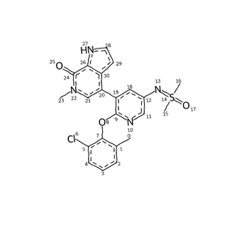 Cc1cccc(Cl)c1Oc1ncc(N=S(C)(C)=O)cc1-c1cn(C)c(=O)c2[nH]ccc12